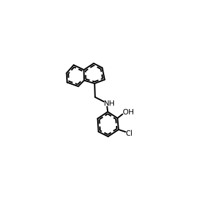 Oc1c(Cl)cccc1NCc1cccc2ccccc12